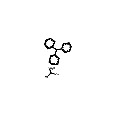 CCCCC(S)C(=O)O.c1ccc(C(c2ccccc2)c2ccccc2)cc1